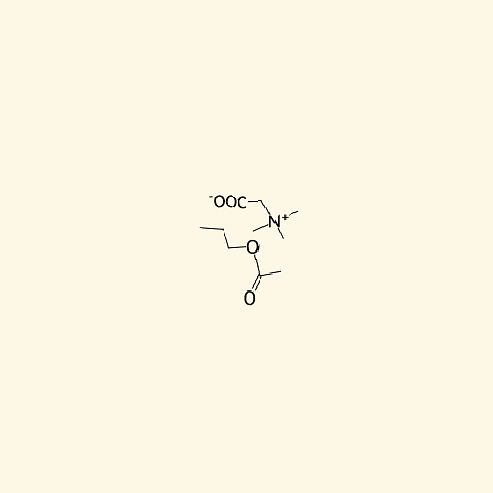 CCCOC(C)=O.C[N+](C)(C)CC(=O)[O-]